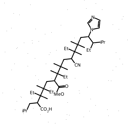 CCC(C(C)C)C(CC(C)(C)C(C)(CC)C(C#N)CC(C)(C)C(C)(CC)C(CC(C)(CC)C(C)(CC)C(CC(C)C)C(=O)O)C(=O)OC)n1ccnc1